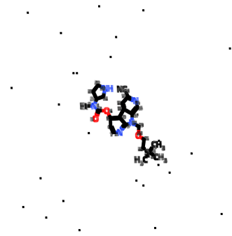 CCN(C(=O)Oc1ccnc2c1c1cc(C#N)ncc1n2COCC[Si](C)(C)C)C1CCNC1